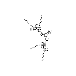 CCCCCCCC(=O)OC[C@@H](CCOC1=CC(CN(C)C)CC(OCC[C@H](COC(=O)CCCCCCC)OC(=O)CCCCCCC)=C1)OC(=O)CCCCCCC